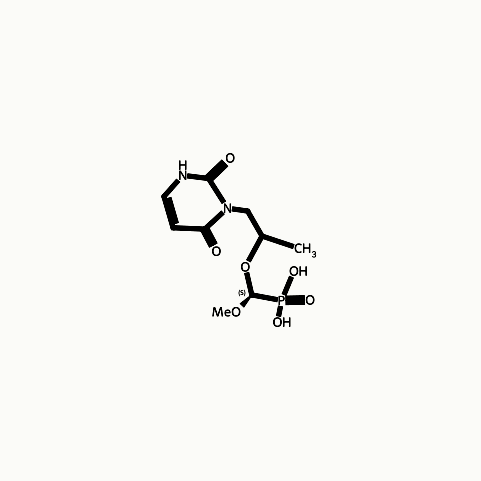 CO[C@@H](OC(C)Cn1c(=O)cc[nH]c1=O)P(=O)(O)O